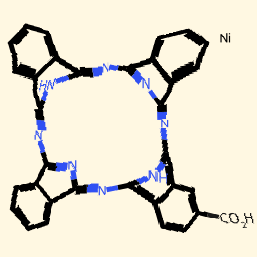 O=C(O)c1ccc2c3nc4nc(nc5[nH]c(nc6nc(nc([nH]3)c2c1)-c1ccccc1-6)c1ccccc51)-c1ccccc1-4.[Ni]